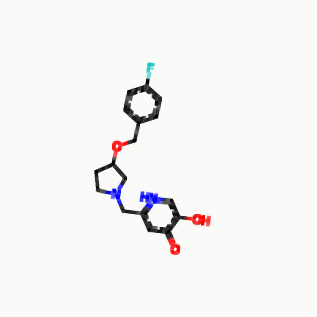 O=c1cc(CN2CCC(OCc3ccc(F)cc3)C2)[nH]cc1O